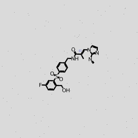 C=Nc1nccn1/C=C(\C)C(=O)NCc1ccc(S(=O)(=O)c2cc(F)ccc2CO)cc1